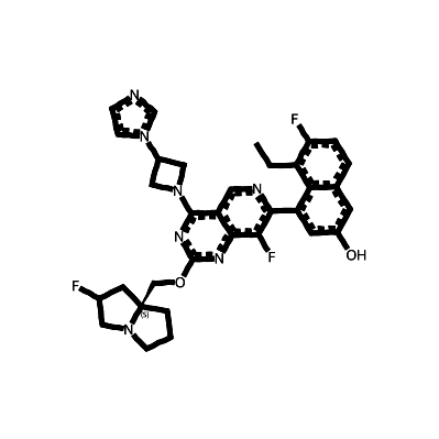 CCc1c(F)ccc2cc(O)cc(-c3ncc4c(N5CC(n6ccnc6)C5)nc(OC[C@@]56CCCN5CC(F)C6)nc4c3F)c12